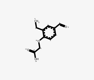 CCc1cc(C=O)ccc1OCC(=O)O